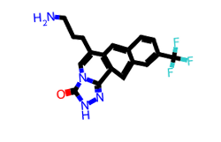 NCCCc1cn2c(=O)[nH]nc2c2cc3cc(C(F)(F)F)ccc3cc12